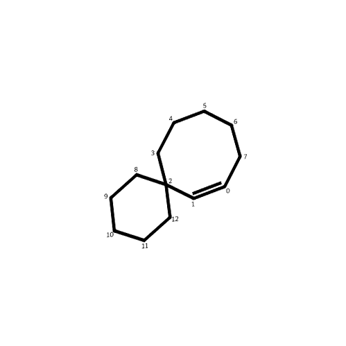 C1=C\C2(CCCCC/1)CCCCC2